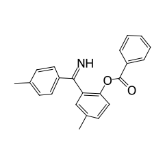 Cc1ccc(C(=N)c2cc(C)ccc2OC(=O)c2ccccc2)cc1